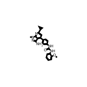 COc1ccccc1NC(=O)Nc1ccc(-c2cc(C3CC3)nc3c2c(N)nn3C)cc1